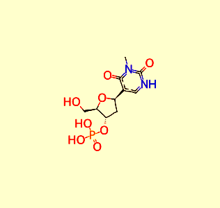 Cn1c(=O)[nH]cc([C@H]2C[C@H](OP(=O)(O)O)[C@@H](CO)O2)c1=O